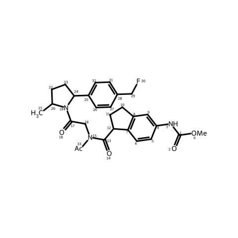 COC(=O)Nc1ccc2c(c1)CCC2C(=O)N(CC(=O)N1C(C)CCC1c1ccc(CF)cc1)C(C)=O